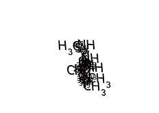 CSC(=N)c1cccc(CNC(=O)[C@@H]2CCCN2S(=O)(=O)c2ccc(Cl)c(COc3cccc4c(C)cc(C)nc34)c2Cl)c1.I